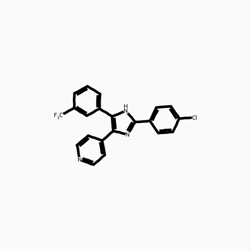 FC(F)(F)c1cccc(-c2[nH]c(-c3ccc(Cl)cc3)nc2-c2ccncc2)c1